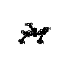 CC1(C)C2=CC(Cl)=CN(CCCCS(=O)(=O)O)C2=N/C1=C/C=C1\CCC(/C=C/C2=[N+](CCCCS(=O)(=O)O)c3ccc(S(=O)(=O)O)cc3C2(C)C)=C1c1cccc(CCCC(=O)O)c1